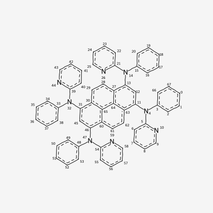 c1ccc(N(c2ccccn2)c2cc(N(c3ccccc3)c3ccccn3)c3ccc4c(N(c5ccccc5)c5ccccn5)cc(N(c5ccccc5)c5ccccn5)c5ccc2c3c54)cc1